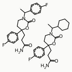 CC(C1CCCCC1)N1CCC(CCC(N)=O)(c2ccc(F)cc2)OC1=O.CC(c1ccc(F)cc1)N1CCC(CCC(N)=O)(c2ccc(F)cc2)OC1=O